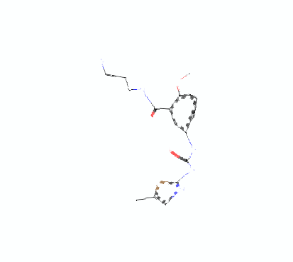 COc1ccc(NC(=O)Nc2ncc(C)s2)cc1C(=O)NCCCN